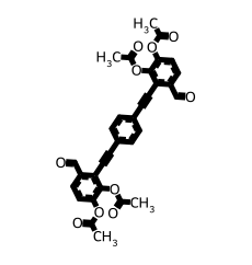 CC(=O)Oc1ccc(C=O)c(C#Cc2ccc(C#Cc3c(C=O)ccc(OC(C)=O)c3OC(C)=O)cc2)c1OC(C)=O